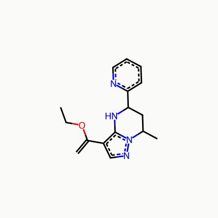 C=C(OCC)c1cnn2c1NC(c1ccccn1)CC2C